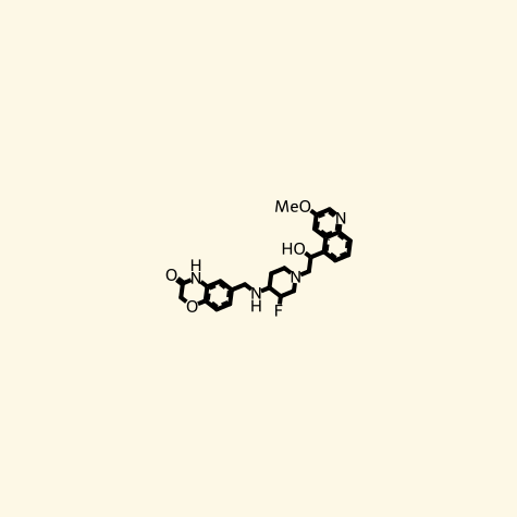 COc1cnc2cccc(C(O)CN3CCC(NCc4ccc5c(c4)NC(=O)CO5)C(F)C3)c2c1